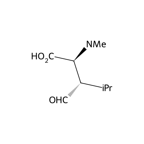 CN[C@H](C(=O)O)[C@@H](C=O)C(C)C